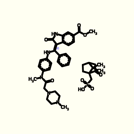 CC1(C)C2CCC1(CS(=O)(=O)O)C(=O)C2.COC(=O)c1ccc2c(c1)NC(=O)/C2=C(\Nc1ccc(N(C)C(=O)CN2CCN(C)CC2)cc1)c1ccccc1